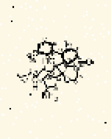 COCCCC[C@@](O)(c1cccc(F)c1-c1cccc(SC)c1)[C@@]1([C@H]2C[C@@H](N)[C@@H](O)C2)CN(C=O)CCO1